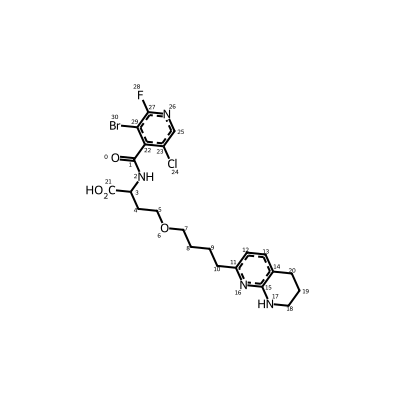 O=C(NC(CCOCCCCc1ccc2c(n1)NCCC2)C(=O)O)c1c(Cl)cnc(F)c1Br